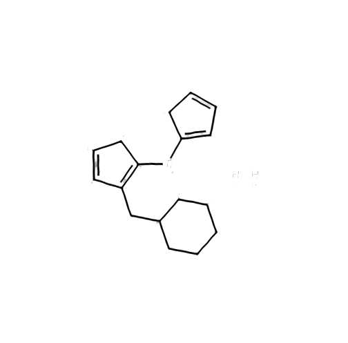 C1=CC[C]([Ti][C]2=C(CC3CCCCC3)C=CC2)=C1.[H-].[H-]